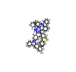 c1ccc(-c2nc(-c3ccc(-n4c5ccccc5c5cc6ccccc6cc54)cc3-c3cccc4sc5ccccc5c34)nc(-c3cccc4c5ccccc5n(-c5ccccc5)c34)n2)cc1